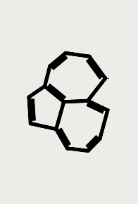 [c]1cccc2ccc3ccccc1c23